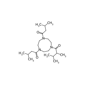 CC(C)CC(=O)N1CCN(C(=O)CC(C)C)CCN(C(=O)C(C)C(C)C)CC1